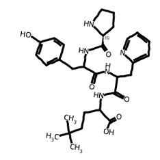 CC(C)(C)CCC(NC(=O)C(Cc1ccccn1)NC(=O)C(Cc1ccc(O)cc1)NC(=O)[C@@H]1CCCN1)C(=O)O